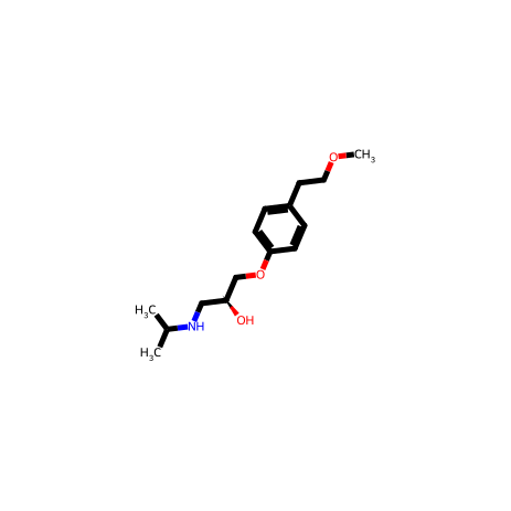 COCCc1ccc(OC[C@@H](O)CNC(C)C)cc1